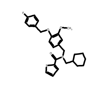 COc1cc(CN(CC2CCCCC2)C(=O)c2cccs2)ccc1OCc1ccc(F)cc1